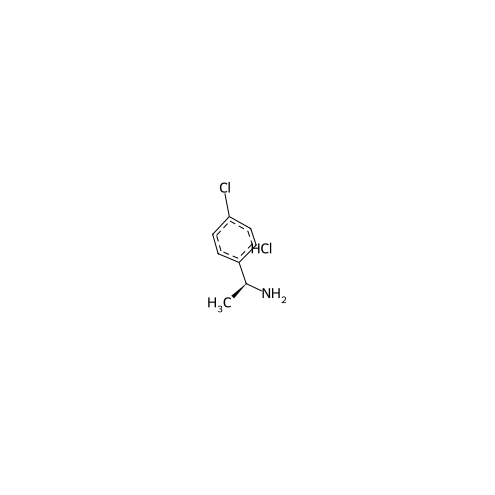 C[C@H](N)c1ccc(Cl)cc1.Cl